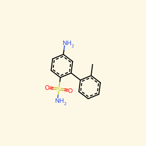 Cc1ccccc1-c1cc(N)ccc1S(N)(=O)=O